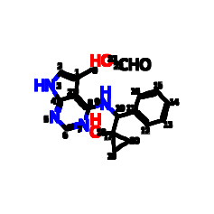 Cc1c[nH]c2ncnc(NC(c3ccccc3)C3(O)CC3)c12.O=CO